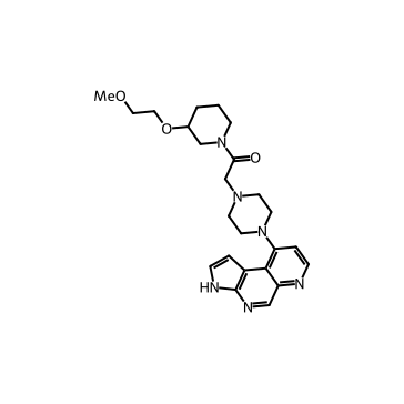 COCCOC1CCCN(C(=O)CN2CCN(c3ccnc4cnc5[nH]ccc5c34)CC2)C1